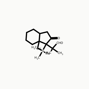 CC(C)(C=O)C1([Si](C)(C)C(C)(C)C)C(=O)CC2CCCCC21C